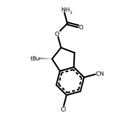 CC(C)(C)[C@H]1c2cc(Cl)cc(C#N)c2CC1OC(N)=O